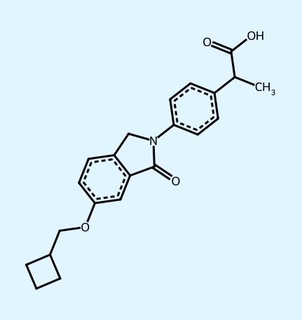 CC(C(=O)O)c1ccc(N2Cc3ccc(OCC4CCC4)cc3C2=O)cc1